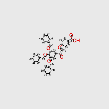 O=C(O)C1=CC2C=C(C(=O)c3cc(OCc4ccccc4)c(OCc4ccccc4)c(OCc4ccccc4)c3)OC2C=C1